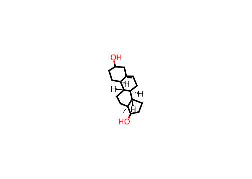 C[C@]12CC[C@H]3[C@@H](CC=C4CC(O)CC[C@@H]43)[C@@H]1CCC2O